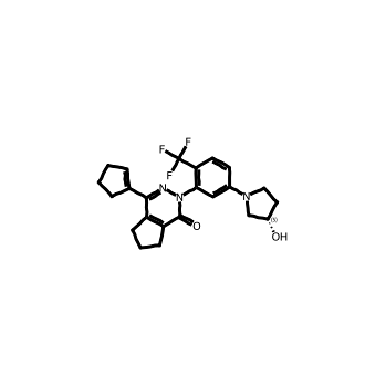 O=c1c2c(c(C3=CCCC3)nn1-c1cc(N3CC[C@H](O)C3)ccc1C(F)(F)F)CCC2